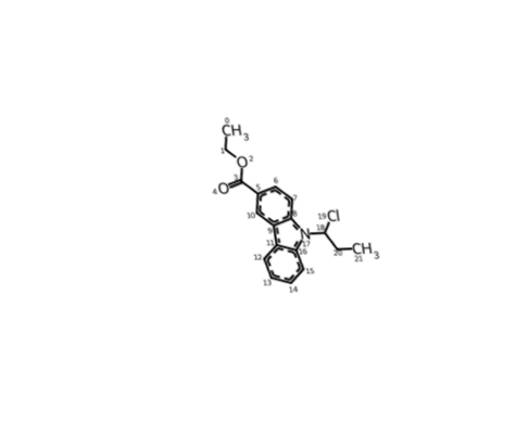 CCOC(=O)c1ccc2c(c1)c1ccccc1n2C(Cl)CC